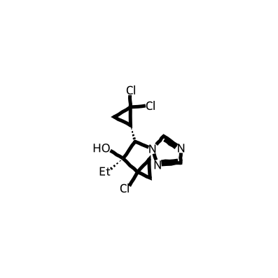 CC[C@](O)(C([C@@H]1CC1(Cl)Cl)n1cncn1)C1(Cl)CC1